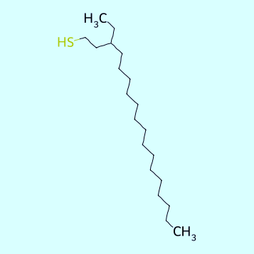 CCCCCCCCCCCCCCCC(CC)CCS